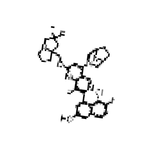 Oc1cc(-c2ncc3c(N4CC5CCC(C4)N5)cc(OCC45CCCN4CC(F)(F)C5)nc3c2F)c2c(Cl)c(F)ccc2c1